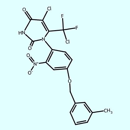 Cc1cccc(COc2ccc(-n3c(C(F)(F)Cl)c(Cl)c(=O)[nH]c3=O)c([N+](=O)[O-])c2)c1